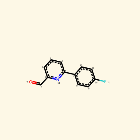 O=Cc1cccc(-c2ccc(F)cc2)n1